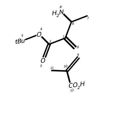 C=C(C(=O)OC(C)(C)C)C(C)N.C=C(C)C(=O)O